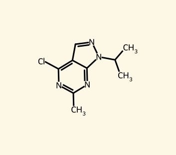 Cc1nc(Cl)c2cnn(C(C)C)c2n1